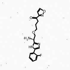 N[C@@H](COCCCC(=O)c1ccon1)c1ncc(-c2ccccc2F)[nH]1